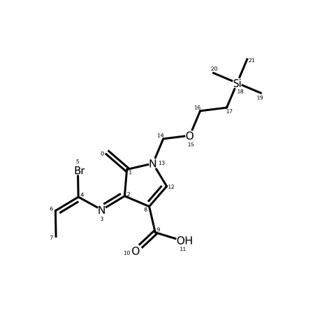 C=C1/C(=N\C(Br)=C/C)C(C(=O)O)=CN1COCC[Si](C)(C)C